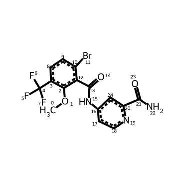 COc1c(C(F)(F)F)ccc(Br)c1C(=O)Nc1ccnc(C(N)=O)c1